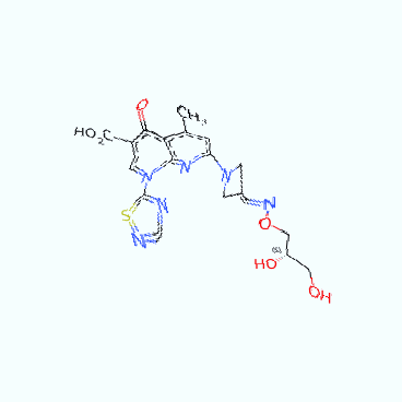 Cc1cc(N2CC(=NOC[C@@H](O)CO)C2)nc2c1c(=O)c(C(=O)O)cn2-c1ncns1